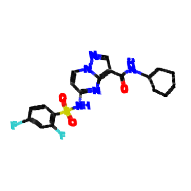 O=C(NC1CCCCC1)c1cnn2ccc(NS(=O)(=O)c3ccc(F)cc3F)nc12